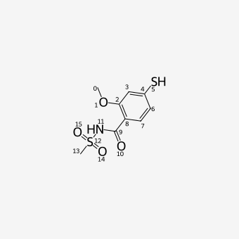 COc1cc(S)ccc1C(=O)NS(C)(=O)=O